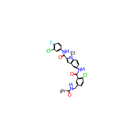 CCn1c(C(=O)Nc2ccc(F)c(Cl)c2)cc2cc(NC(=O)c3cc(CNC(=O)C(C)C)ccc3Cl)ccc21